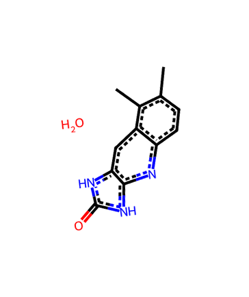 Cc1ccc2nc3[nH]c(=O)[nH]c3cc2c1C.O